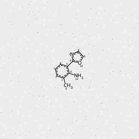 Cc1cccc(-c2ncco2)c1N